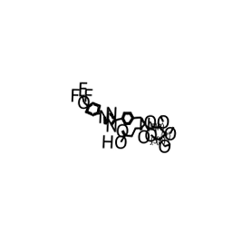 CO[C@@H]1[C@@H](OC)[C@H](C)O[C@@H](ON(Cc2ccc(-c3ncn(-c4ccc(OC(F)(F)F)cc4)n3)cc2)C(=O)CCC(=O)O)[C@@H]1OC